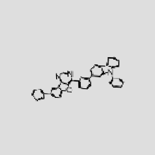 c1ccc(-c2ccc3oc4c(-c5cccc(-c6ccc7c8ccccc8n(-c8ccccc8)c7c6)c5)ncnc4c3c2)cc1